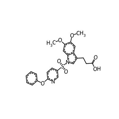 COc1cc2c(CCC(=O)O)cn(S(=O)(=O)c3ccc(Oc4ccccc4)nc3)c2cc1OC